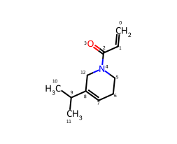 C=CC(=O)N1CCC=C(C(C)C)C1